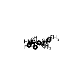 CN1CCC(NC(=O)N(C)c2ccc(N/C(=C3\C(=O)Nc4cc(F)ccc43)c3ccccc3)cc2)CC1